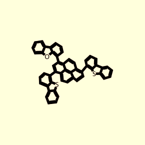 c1ccc2c(c1)oc1c(-c3cc(-c4cccc5c4sc4ccccc45)c4ccc5ccc(-c6cccc7c6sc6ccccc67)c6ccc3c4c56)cccc12